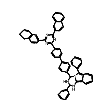 C1=Cc2cc(-c3nc(-c4ccc(-c5ccc(C6NC(c7ccccc7)Nc7c8ccccc8c(-c8ccccc8)n76)cc5)cc4)nc(-c4ccc5ccccc5c4)n3)ccc2CC1